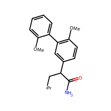 COc1ccccc1-c1cc(C(CC(C)C)C(N)=O)ccc1OC